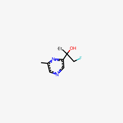 C[CH]C(O)(CF)c1cncc(C)n1